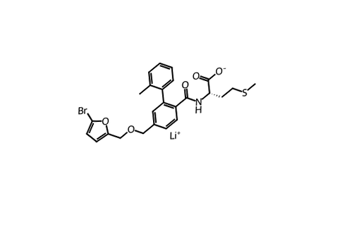 CSCC[C@H](NC(=O)c1ccc(COCc2ccc(Br)o2)cc1-c1ccccc1C)C(=O)[O-].[Li+]